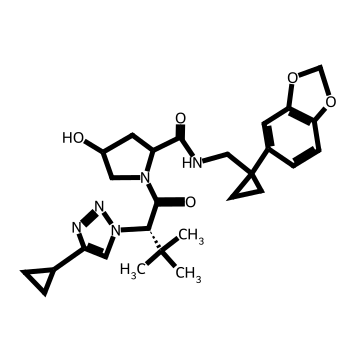 CC(C)(C)[C@@H](C(=O)N1CC(O)CC1C(=O)NCC1(c2ccc3c(c2)OCO3)CC1)n1cc(C2CC2)nn1